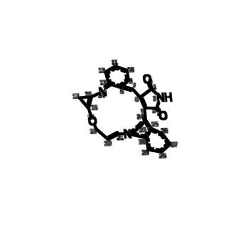 O=C1NC(=O)C2=C1/C=c1\cccc\c1=N/C1=C(C1)OC/C=C/n1cc2c2ccccc21